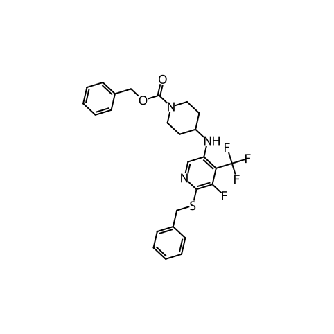 O=C(OCc1ccccc1)N1CCC(Nc2cnc(SCc3ccccc3)c(F)c2C(F)(F)F)CC1